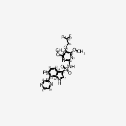 COc1nc(NS(=O)(=O)c2c[nH]c3c(-c4cnccn4)c(F)ccc23)nc(OC)c1OCC(F)F